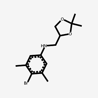 Cc1cc(NCC2COC(C)(C)O2)cc(C)c1Br